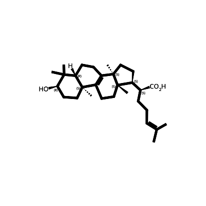 CC(C)=CCC[C@H](C(=O)O)[C@@H]1CC[C@]2(C)C3=C(CC[C@@]12C)[C@@]1(C)CC[C@@H](O)C(C)(C)[C@@H]1CC3